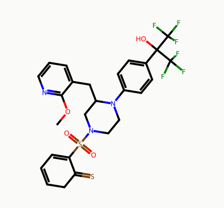 COc1ncccc1CC1CN(S(=O)(=O)C2=CC=CCC2=S)CCN1c1ccc(C(O)(C(F)(F)F)C(F)(F)F)cc1